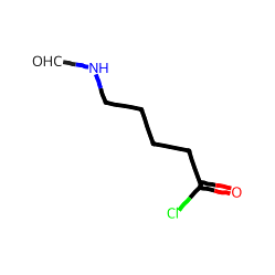 O=CNCCCCC(=O)Cl